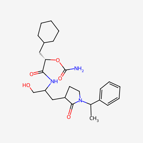 CC(c1ccccc1)N1CCC(CC(CO)NC(=O)[C@H](CC2CCCCC2)OC(N)=O)C1=O